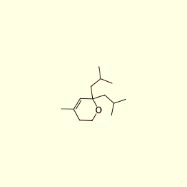 CC1=CC(CC(C)C)(CC(C)C)OCC1